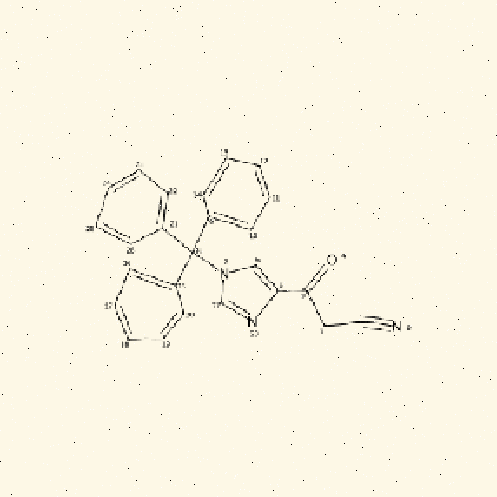 N#CCC(=O)c1cn(C(c2ccccc2)(c2ccccc2)c2ccccc2)cn1